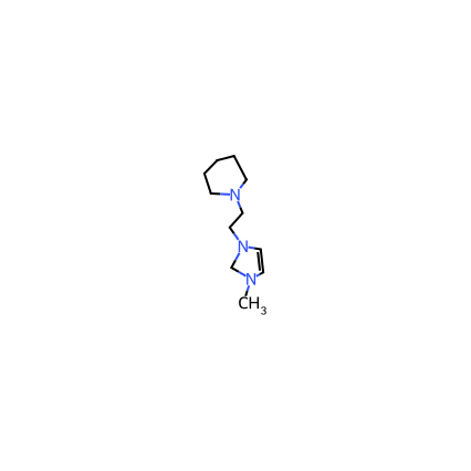 CN1C=CN(CCN2CCCCC2)C1